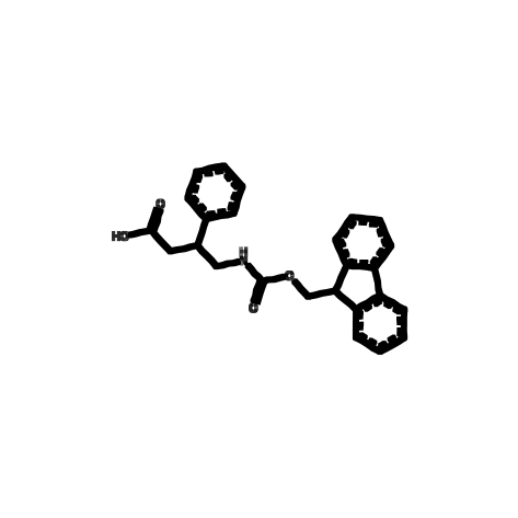 O=C(O)CC(CNC(=O)OCC1c2ccccc2-c2ccccc21)c1ccccc1